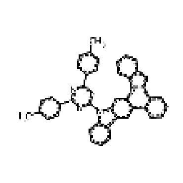 Cc1ccc(-c2nc(-c3ccc(C)cc3)nc(-n3c4ccccc4c4cc5c6ccccc6c6cc7ccccc7n6c5cc43)n2)cc1